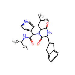 CC(C)CC1C(=O)NC(C2Cc3ccccc3C2)C(=O)N1C(C(=O)NC(C)C)c1ccncc1